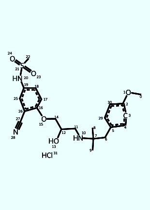 COc1ccc(CC(C)(C)NCC(O)COc2ccc(NS(C)(=O)=O)cc2C#N)cc1.Cl